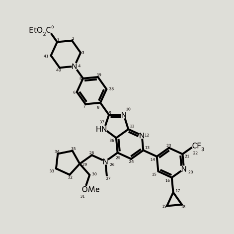 CCOC(=O)C1CCN(c2ccc(-c3nc4nc(-c5cc(C6CC6)nc(C(F)(F)F)c5)cc(N(C)CC5(COC)CCCC5)c4[nH]3)cc2)CC1